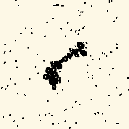 O=C(CCOCCOCCNC(=O)COc1cccc2c1C(=O)N(C1CCC(=O)NC1=O)C2=O)NCCC(c1ccccc1)c1ccccc1